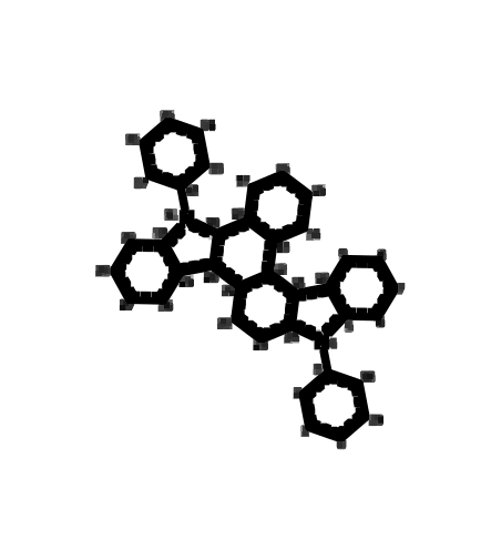 c1ccc(-n2c3ccccc3c3c4c5ccccc5c5c(c4ccc32)c2ccccc2n5-c2ccccc2)cc1